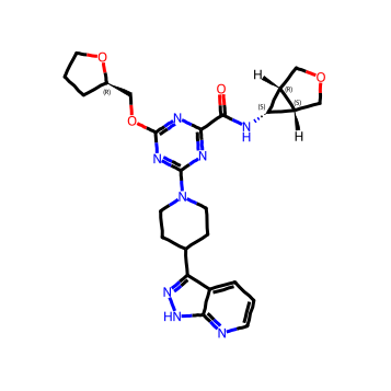 O=C(N[C@@H]1[C@@H]2COC[C@@H]21)c1nc(OC[C@H]2CCCO2)nc(N2CCC(c3n[nH]c4ncccc34)CC2)n1